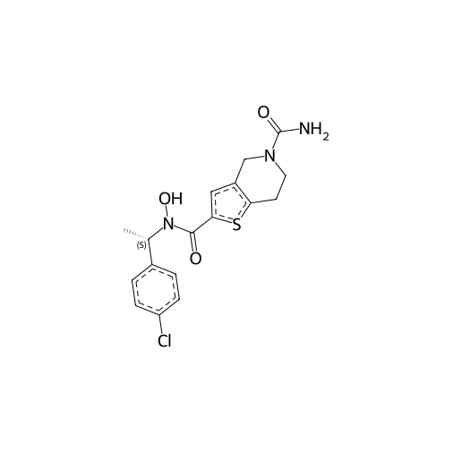 C[C@@H](c1ccc(Cl)cc1)N(O)C(=O)c1cc2c(s1)CCN(C(N)=O)C2